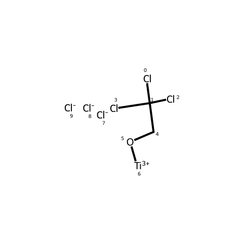 ClC(Cl)(Cl)C[O][Ti+3].[Cl-].[Cl-].[Cl-]